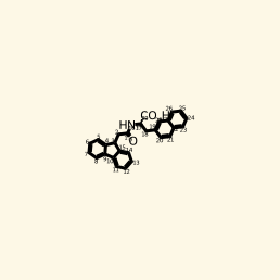 O=C(CC1c2ccccc2-c2ccccc21)N[C@H](Cc1ccc2ccccc2c1)C(=O)O